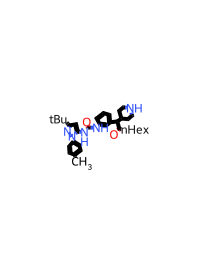 CCCCCCC(=O)C(c1cccc(NC(=O)Nc2cc(C(C)(C)C)nn2-c2ccc(C)cc2)c1)C1CCNCC1